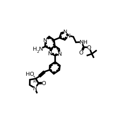 CN1CC[C@@](O)(C#Cc2cccc(-c3ncc4c(-c5cnn(CCNC(=O)OC(C)(C)C)c5)cnc(N)c4n3)c2)C1=O